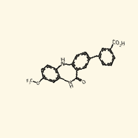 O=C(O)c1cccc(-c2ccc3c(c2)C(=O)Nc2cc(OC(F)(F)F)ccc2N3)c1